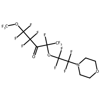 O=C(C(F)(F)C(F)(F)OC(F)(F)F)C(F)(OC(F)(F)C(F)(F)N1CCOCC1)C(F)(F)F